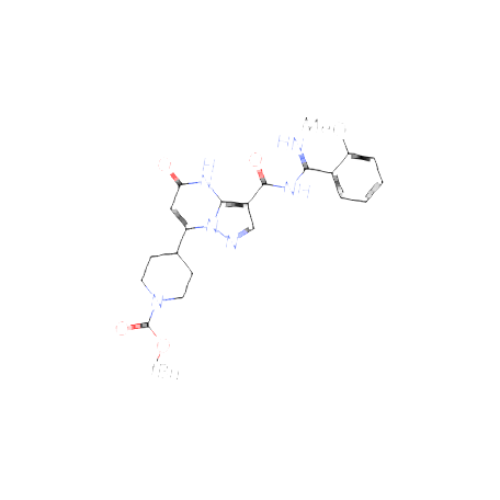 COc1ccccc1C(=N)NC(=O)c1cnn2c(C3CCN(C(=O)OC(C)(C)C)CC3)cc(=O)[nH]c12